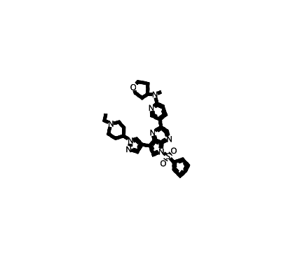 CCN1CCC(n2cc(-c3cn(S(=O)(=O)c4ccccc4)c4ncc(-c5ccc(N(C)C6CCOCC6)nc5)nc34)cn2)CC1